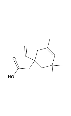 C=CC1(CC(=O)O)CC(C)=CC(C)(C)C1